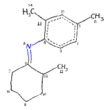 Cc1ccc(N=C2CCCCC2C)c(C)c1